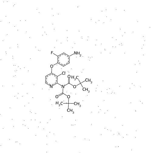 CC(C)(C)OC(=O)N(C(=O)OC(C)(C)C)c1nccc(Oc2ccc(N)cc2F)c1Cl